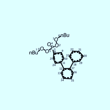 CCCCOOP(=O)(OOCCCC)c1ccc(-c2c[c]ccc2-c2ccccc2)cc1